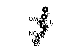 CCS(=O)(=O)N1CC(CC#N)(n2cc(-c3ncnc4c3ccn4C(C)(C(=O)OC)c3ccc(-c4ccccc4)c(F)c3)cn2)C1